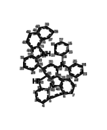 B1c2cccc3c4cccc5c6c(N(c7ccccc7)c7ccccc7)cc(-c7cccc8c7[nH]c7c9ccccc9ccc87)c1c6n(c23)c45